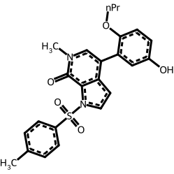 CCCOc1ccc(O)cc1-c1cn(C)c(=O)c2c1ccn2S(=O)(=O)c1ccc(C)cc1